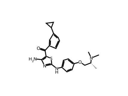 C[C@H](COc1ccc(Nc2nc(N)c(C(=O)c3cccc(C4CC4)c3)s2)cc1)N(C)C